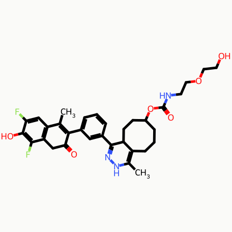 CC1=C2CCCC(OC(=O)NCCOCCO)CCC2C(c2cccc(C3=C(C)c4cc(F)c(O)c(F)c4CC3=O)c2)=NN1